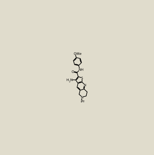 COc1ccc(NC(=O)c2sc3nc4c(cc3c2N)CN(C(C)C)CC4)cc1